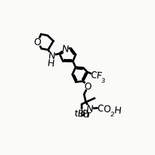 CC(C)CC(C)(COc1ccc(-c2ccnc(NC3CCCOC3)c2)cc1C(F)(F)F)N(C(=O)O)C(C)(C)C